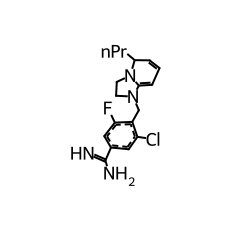 CCCC1C=CC=C2N(Cc3c(F)cc(C(=N)N)cc3Cl)CCN21